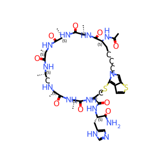 CC(=O)N[C@H]1CCCCn2cc3sccc3c2SC[C@@H](C(=O)N[C@@H](Cc2cnc[nH]2)C(N)=O)NC(=O)[C@H](C)NC(=O)[C@H](C)NC[C@H](C)NC(=O)[C@H](C)NC(=O)[C@H](C)NC(=O)[C@H](C)NC1=O